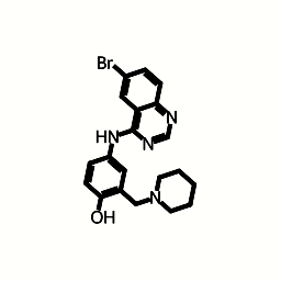 Oc1ccc(Nc2ncnc3ccc(Br)cc23)cc1CN1CCCCC1